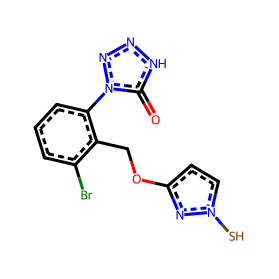 O=c1[nH]nnn1-c1cccc(Br)c1COc1ccn(S)n1